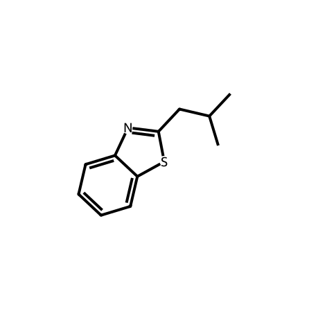 CC(C)Cc1nc2ccccc2s1